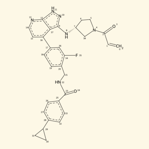 C=CC(=O)N1CC[C@@H](Nc2n[nH]c3nccc(-c4ccc(CNC(=O)c5ccc(C6CC6)cc5)c(F)c4)c23)C1